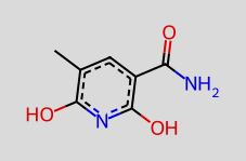 Cc1cc(C(N)=O)c(O)nc1O